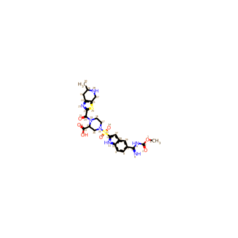 COC(=O)NC(=N)c1ccc2[nH]c(S(=O)(=O)N3CCN(C(=O)c4nc5c(s4)CNC(C)C5)C(C(=O)O)C3)cc2c1